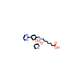 O=C(O)CCCCCCN(Cc1ccc(-c2ncccn2)cc1)S(=O)(=O)c1cccnc1